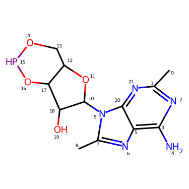 Cc1nc(N)c2nc(C)n(C3OC4COPOC4C3O)c2n1